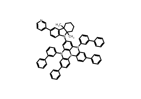 CC12CCCCC1(C)N(c1cc3c4c(c1)N(c1cccc(-c5ccccc5)c1)c1cc(-c5ccccc5)ccc1B4c1ccc(-c4ccccc4)cc1N3c1cccc(-c3ccccc3)c1)c1ccc(-c3cccnc3)cc12